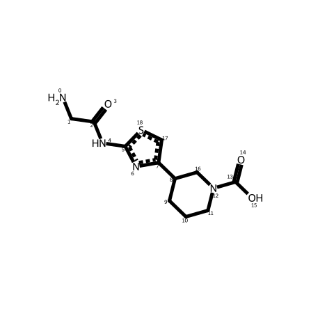 NCC(=O)Nc1nc(C2CCCN(C(=O)O)C2)cs1